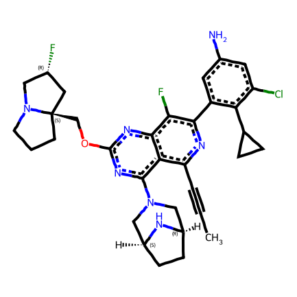 CC#Cc1nc(-c2cc(N)cc(Cl)c2C2CC2)c(F)c2nc(OC[C@@]34CCCN3C[C@H](F)C4)nc(N3C[C@H]4CC[C@@H](C3)N4)c12